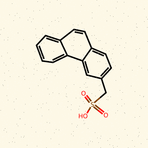 O=S(=O)(O)Cc1ccc2ccc3ccccc3c2c1